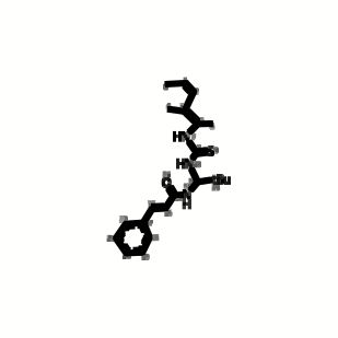 C/C=C\C(C)=C(/C)NC(=S)NC(NC(=O)/C=C/c1ccccc1)C(C)(C)C